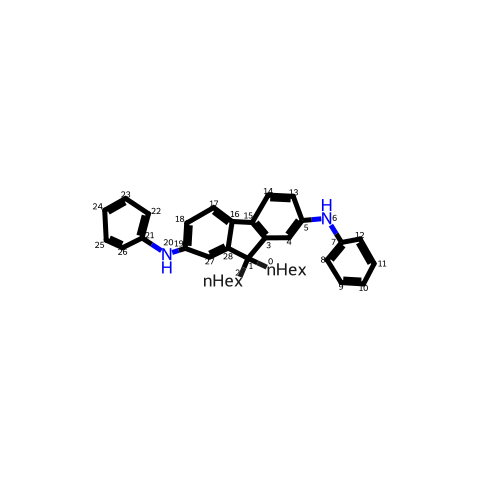 CCCCCCC1(CCCCCC)c2cc(Nc3ccccc3)ccc2-c2ccc(Nc3ccccc3)cc21